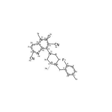 Cc1ccc(F)c(CN2CCN(c3c(C#N)c(=O)n(C)c4ccc(C#N)nc34)C[C@H]2C)c1